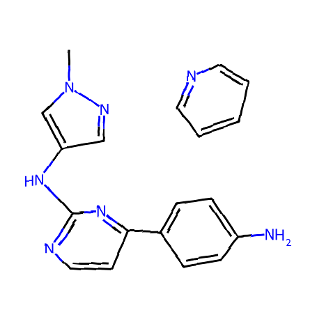 Cn1cc(Nc2nccc(-c3ccc(N)cc3)n2)cn1.c1ccncc1